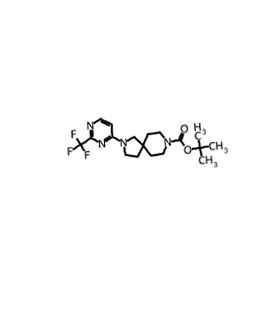 CC(C)(C)OC(=O)N1CCC2(CC1)CCN(c1ccnc(C(F)(F)F)n1)C2